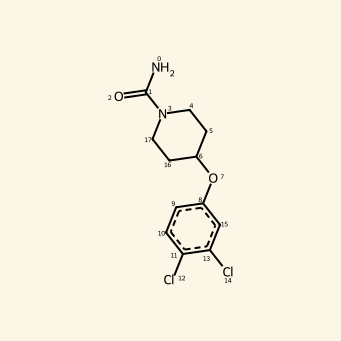 NC(=O)N1CCC(Oc2ccc(Cl)c(Cl)c2)CC1